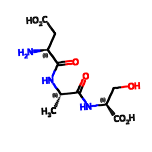 C[C@H](NC(=O)[C@@H](N)CC(=O)O)C(=O)N[C@@H](CO)C(=O)O